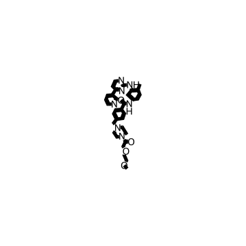 COCCOCC(=O)N1CCN(Cc2ccc(C(=O)Nc3ccc(C)c(Nc4nccc(-c5cccnc5)n4)c3)cc2)CC1